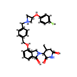 CC1CC(=O)NC(=O)C1N1Cc2c(OCc3ccc(CN4CC(Oc5ccc(F)cc5)C4)cc3)cccc2C1=O